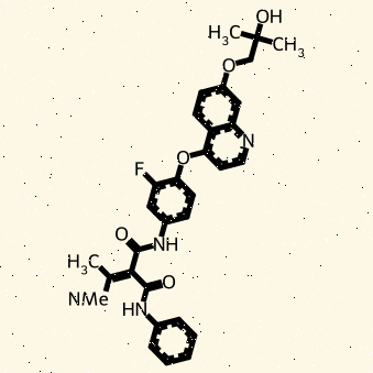 CN/C(C)=C(\C(=O)Nc1ccccc1)C(=O)Nc1ccc(Oc2ccnc3cc(OCC(C)(C)O)ccc23)c(F)c1